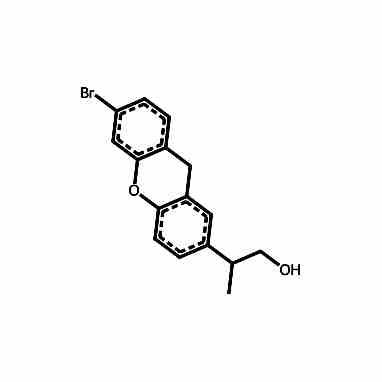 CC(CO)c1ccc2c(c1)Cc1ccc(Br)cc1O2